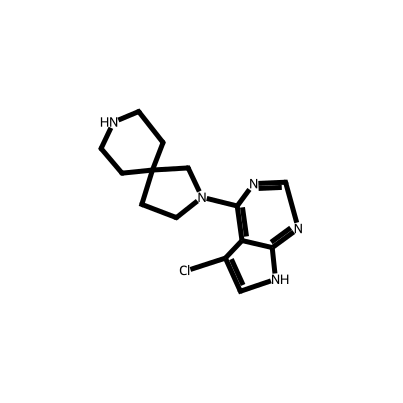 Clc1c[nH]c2ncnc(N3CCC4(CCNCC4)C3)c12